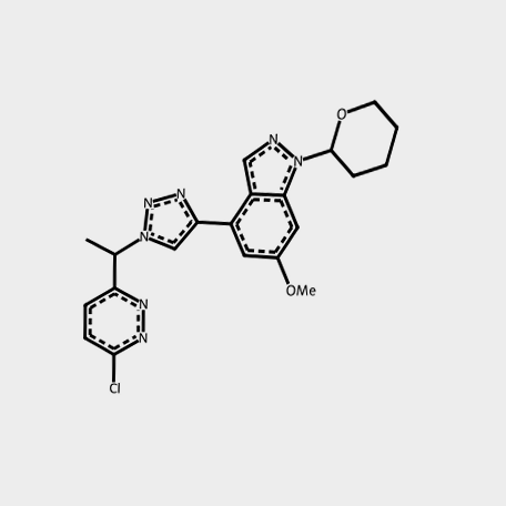 COc1cc(-c2cn(C(C)c3ccc(Cl)nn3)nn2)c2cnn(C3CCCCO3)c2c1